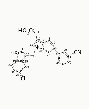 N#Cc1cccc(-c2ccc3c(CC(=O)O)cn(Cc4csc5ccc(Cl)cc45)c3c2)c1